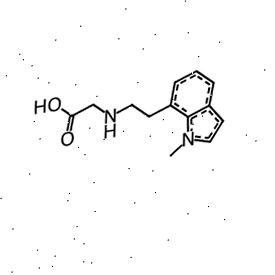 Cn1ccc2cccc(CCNCC(=O)O)c21